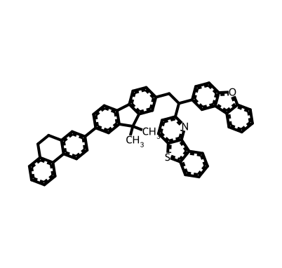 CC1(C)c2cc(CC(c3ccc4oc5ccccc5c4c3)c3ccc4sc5ccccc5c4n3)ccc2-c2ccc(-c3ccc4c(c3)CCc3ccccc3-4)cc21